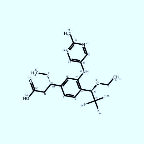 CCO[C@H](c1ccc([C@@H](CC)CC(=O)O)cc1Nc1cnc(C)nc1)C(F)(F)F